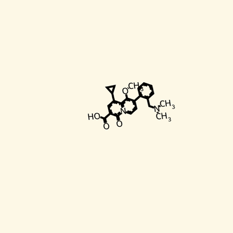 COc1c(-c2ccccc2CN(C)C)ccn2c(=O)c(C(=O)O)cc(C3CC3)c12